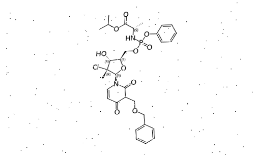 CC(C)OC(=O)[C@H](C)NP(=O)(OC[C@H]1O[C@@H](N2C=CC(=O)C(COCc3ccccc3)C2=O)[C@](C)(Cl)[C@@H]1O)Oc1ccccc1